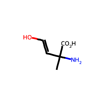 CC(N)(/C=C/O)C(=O)O